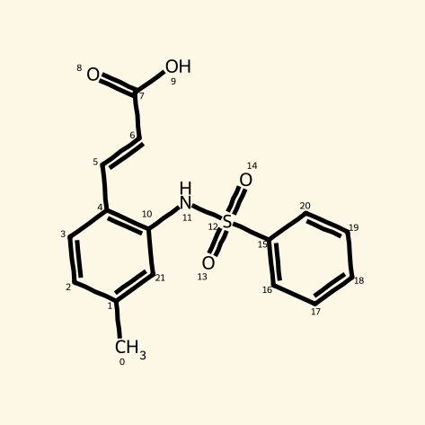 Cc1ccc(C=CC(=O)O)c(NS(=O)(=O)c2ccccc2)c1